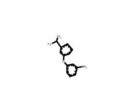 Nc1cccc(Oc2cccc(C(C(F)(F)F)C(F)(F)F)c2)c1